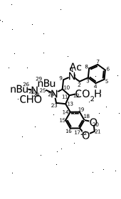 CC(=O)N(Cc1ccccc1)CC1C(C(=O)O)C(c2ccc3c(c2)OCO3)CN1C.CCCCN(C=O)CCCC